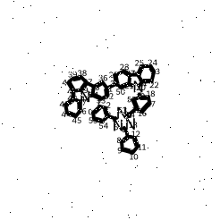 c1ccc(-c2nc(-c3ccccc3)nc(-c3cccc(-n4c5ccccc5c5ccc(-c6ccc7c(c6)c6cccc8c9ccccc9n7c86)cc54)c3)n2)cc1